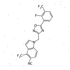 [C-]#[N+]c1ccc2c(ccn2Cc2noc(-c3cccc(C(F)(F)F)c3F)n2)c1C(F)(F)F